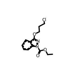 CCOC(=O)n1nc(OCCCCl)c2ccccc21